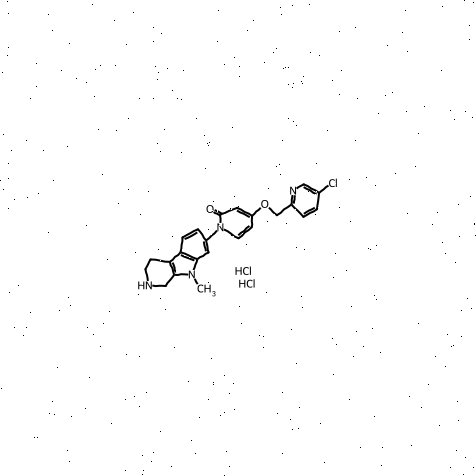 Cl.Cl.Cn1c2c(c3ccc(-n4ccc(OCc5ccc(Cl)cn5)cc4=O)cc31)CCNC2